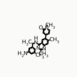 Cc1nc(N[C@H](C)c2cc(N)cc(C(F)(F)F)c2)c2cc(-c3ccn(C)c(=O)c3)c(C)cc2n1